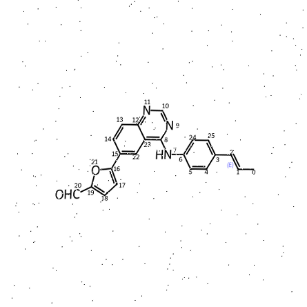 C/C=C/c1ccc(Nc2ncnc3ccc(-c4ccc(C=O)o4)cc23)cc1